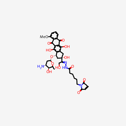 COc1cccc2c1C(=O)c1c(O)c3c(c(O)c1C2=O)C[C@@](O)(/C(CO)=N/NC(=O)CCCCCN1C(=O)C=CC1=O)C[C@@H]3O[C@H]1C[C@@H](N)[C@H](O)C(C)O1